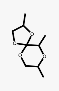 CC1COC2(OCC(C)O2)C(C)O1